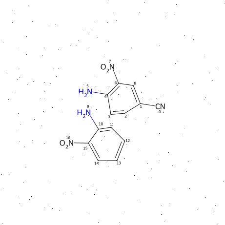 N#Cc1ccc(N)c([N+](=O)[O-])c1.Nc1ccccc1[N+](=O)[O-]